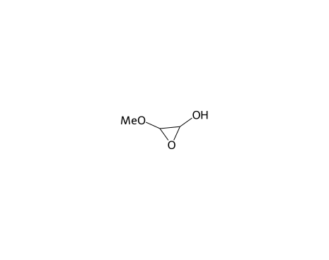 COC1OC1O